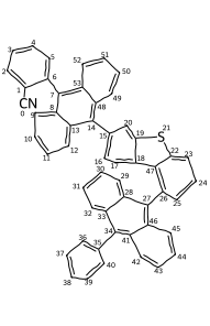 N#Cc1ccccc1-c1c2ccccc2c(-c2ccc3c(c2)sc2cccc(-c4c5ccccc5c(-c5ccccc5)c5ccccc45)c23)c2ccccc12